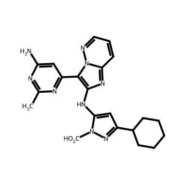 Cc1nc(N)cc(-c2c(Nc3cc(C4CCCCC4)nn3C(=O)O)nc3cccnn23)n1